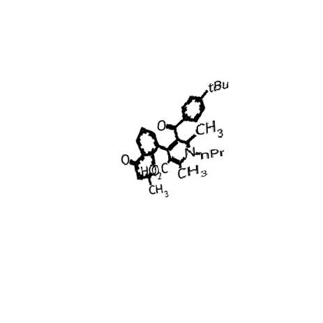 CCCN1C(C)=C(C(=O)O)C(c2cccc3c(=O)cc(C)oc23)=C(C(=O)c2ccc(C(C)(C)C)cc2)C1C